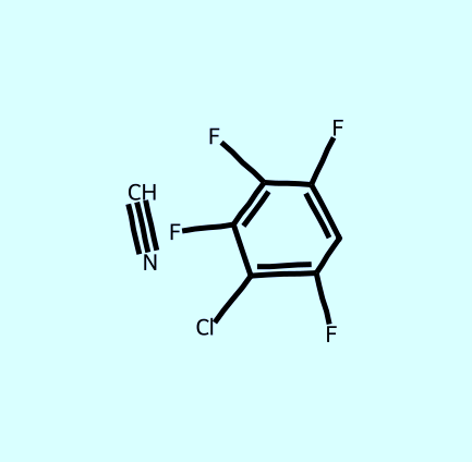 C#N.Fc1cc(F)c(Cl)c(F)c1F